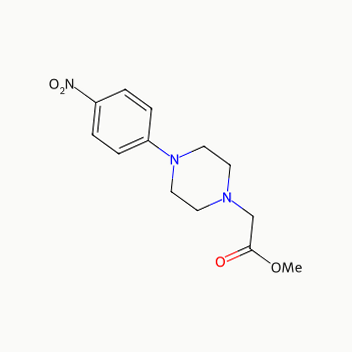 COC(=O)CN1CCN(c2ccc([N+](=O)[O-])cc2)CC1